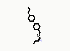 CC/C=C\OCC1CCC([C@H]2CC[C@H](CCC)CC2)CC1